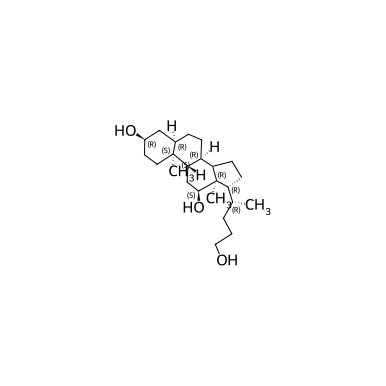 C[C@H](CCCO)[C@H]1CCC2[C@@H]3CC[C@@H]4C[C@H](O)CC[C@]4(C)[C@H]3C[C@H](O)[C@@]21C